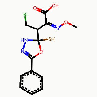 CON=C(C(=O)O)C(CBr)C1(S)NN=C(c2ccccc2)O1